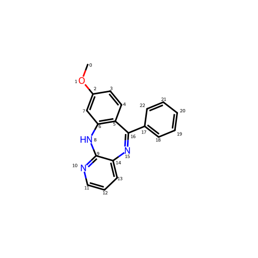 COc1ccc2c(c1)Nc1ncccc1N=C2c1ccccc1